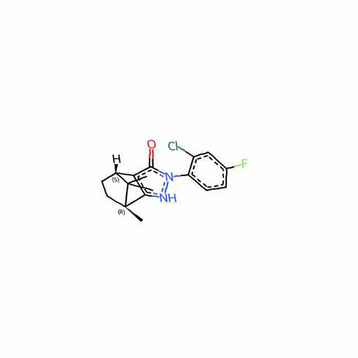 CC1(C)[C@@H]2CC[C@@]1(C)c1[nH]n(-c3ccc(F)cc3Cl)c(=O)c12